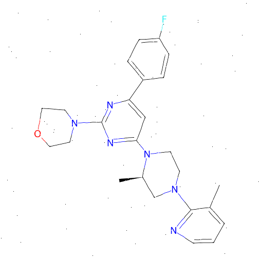 Cc1cccnc1N1CCN(c2cc(-c3ccc(F)cc3)nc(N3CCOCC3)n2)[C@H](C)C1